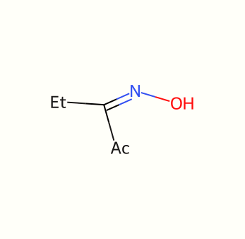 CCC(=NO)C(C)=O